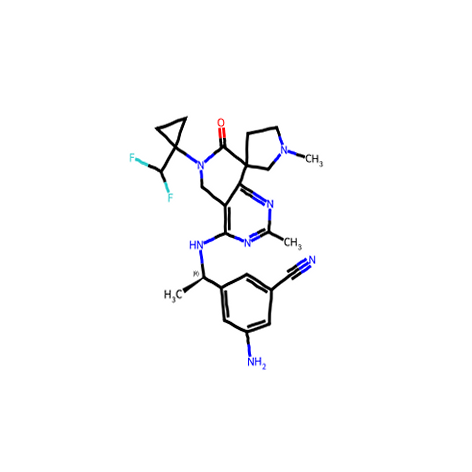 Cc1nc(N[C@H](C)c2cc(N)cc(C#N)c2)c2c(n1)C1(CCN(C)C1)C(=O)N(C1(C(F)F)CC1)C2